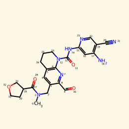 CN(Cc1cc2c(nc1C=O)N(C(=O)Nc1cc(N)c(C#N)cn1)CCC2)C(=O)C1CCOC1